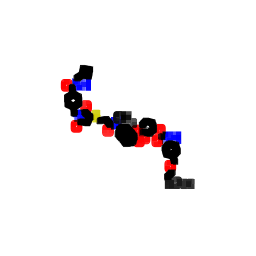 CCCCCCCCCCCCOCc1ccc(NC(=O)OC2CCC[C@]3(C2)OOC2(O3)C3CC4CC2CC(N(C)C(=O)CCSC2CC(=O)N(CC5CCC(C(=O)NCC6CCC6)CC5)C2=O)(C4)C3)cc1